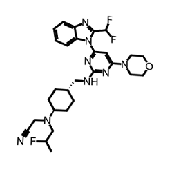 CC(F)CN(CC#N)[C@H]1CC[C@H](CNc2nc(N3CCOCC3)cc(-n3c(C(F)F)nc4ccccc43)n2)CC1